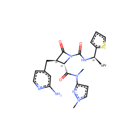 CCC[C@@H](NC(=O)N1C(=O)[C@H](Cc2ccnc(N)c2)[C@H]1C(=O)N(C)c1ccn(C)n1)c1cccs1